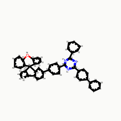 c1ccc(-c2ccc(-c3nc(-c4ccccc4)nc(-c4ccc(-c5ccc6c(c5)C5(c7ccccc7Oc7ccccc75)c5ccccc5-6)cc4)n3)cc2)cc1